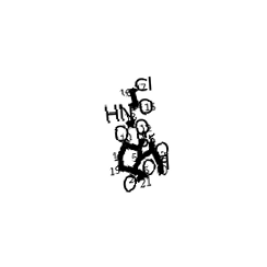 CC1OC1(C)C1(O)C(Br)C(OC(=O)NC(=O)CCl)CCC12CO2